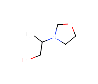 CC(CO)N1CCOC1